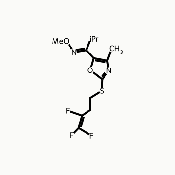 CON=C(c1oc(SCCC(F)=C(F)F)nc1C)C(C)C